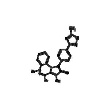 Cc1nc(-c2ccc(N3C(=O)C(O)=C(C(=O)C(C)C)C3c3ccccc3OC(C)C)cc2)no1